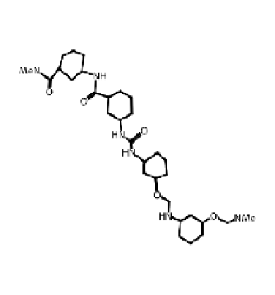 CNCOC1CCCC(NCOC2CCCC(NC(=O)NC3CCCC(C(=O)NC4CCCC(C(=O)NC)C4)C3)C2)C1